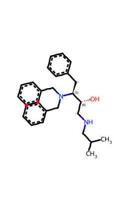 CC(C)CN[CH][C@@H](O)[C@H]([CH]c1ccccc1)N(Cc1ccccc1)Cc1ccccc1